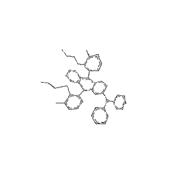 CCCCc1c(C)cccc1-c1c2ccccc2c(-c2cccc(C)c2CCCC)c2cc(N(c3ccccc3)c3ccccc3)ccc12